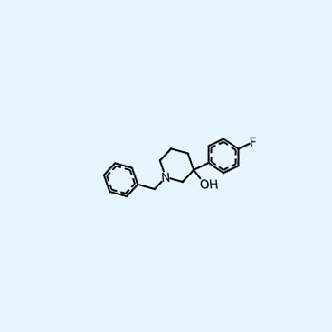 OC1(c2ccc(F)cc2)CCCN(Cc2ccccc2)C1